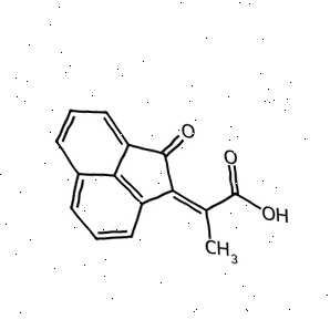 CC(C(=O)O)=c1c(=O)c2cccc3cccc1c32